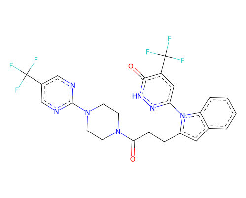 O=C(CCc1cc2ccccc2n1-c1cc(C(F)(F)F)c(=O)[nH]n1)N1CCN(c2ncc(C(F)(F)F)cn2)CC1